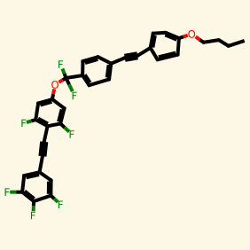 CCCCOc1ccc(C#Cc2ccc(C(F)(F)Oc3cc(F)c(C#Cc4cc(F)c(F)c(F)c4)c(F)c3)cc2)cc1